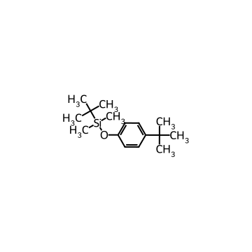 CC(C)(C)c1ccc(O[Si](C)(C)C(C)(C)C)cc1